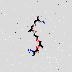 CC(N)COCC(C)OCCOCC(C)OCC(C)N